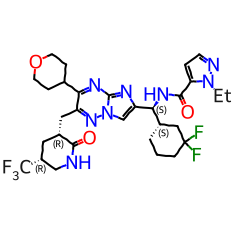 CCn1nccc1C(=O)N[C@H](c1cn2nc(C[C@H]3C[C@@H](C(F)(F)F)CNC3=O)c(C3CCOCC3)nc2n1)[C@H]1CCCC(F)(F)C1